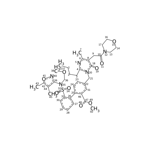 CCCCc1nc(C)c(CC(=O)N2CCOCC2)c(=O)n1Cc1ccc(-c2ccccc2S(=O)(=O)N(COC)c2noc(C)c2C)c(C(=O)OC)c1